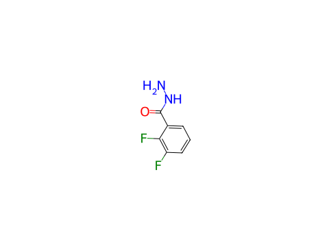 NNC(=O)c1cccc(F)c1F